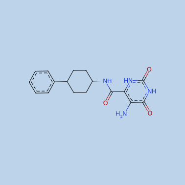 Nc1c(C(=O)NC2CCC(c3ccccc3)CC2)[nH]c(=O)[nH]c1=O